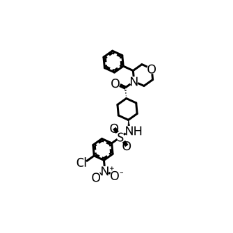 O=C([C@H]1CC[C@H](NS(=O)(=O)c2ccc(Cl)c([N+](=O)[O-])c2)CC1)N1CCOCC1c1ccccc1